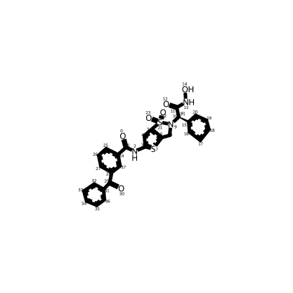 O=C(Nc1cc2c(s1)CN([C@@H](C(=O)NO)c1ccccc1)S2(=O)=O)c1cccc(C(=O)c2ccccc2)c1